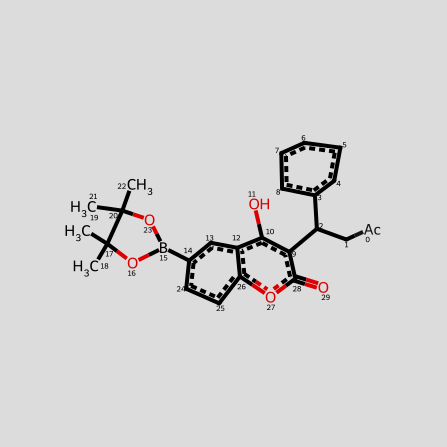 CC(=O)CC(c1ccccc1)c1c(O)c2cc(B3OC(C)(C)C(C)(C)O3)ccc2oc1=O